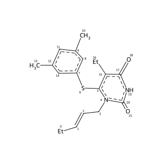 CCC=CCn1c(Sc2cc(C)cc(C)c2)c(CC)c(=O)[nH]c1=O